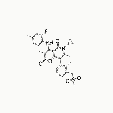 Cc1ccc(Nc2c(C)c(=O)oc3c(-c4cccc(CS(C)(=O)=O)c4C)c(C)n(C4CC4)c(=O)c23)c(F)c1